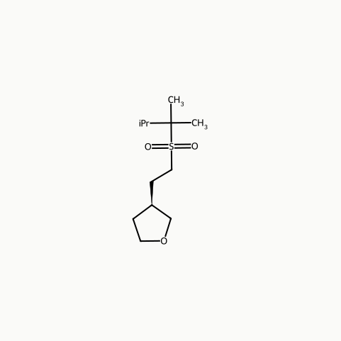 CC(C)C(C)(C)S(=O)(=O)CC[C@@H]1CCOC1